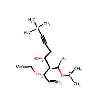 C=C[C@H](OCOC)[C@H](C(O[SiH](C)C)C(C)(C)C)[C@H](O)CC#C[Si](C)(C)C